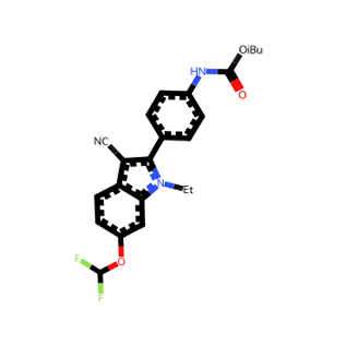 CCn1c(-c2ccc(NC(=O)OCC(C)C)cc2)c(C#N)c2ccc(OC(F)F)cc21